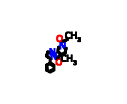 CCC(=O)N1CCC(C)(C(=O)N2N=CCC2c2ccccc2)CC1